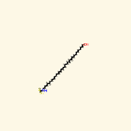 OCCCCCCCCCCCCCCCCCCCCCCCCCCCCCCCCCCCCCNC(=S)S